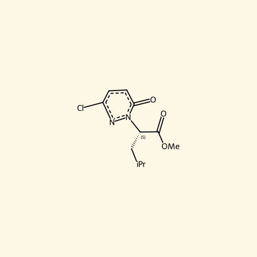 COC(=O)[C@H](CC(C)C)n1nc(Cl)ccc1=O